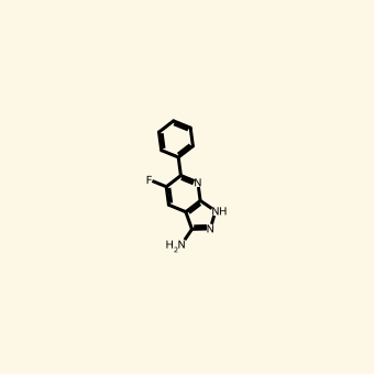 Nc1n[nH]c2nc(-c3ccccc3)c(F)cc12